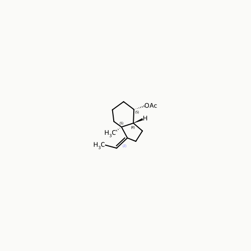 C/C=C1/CC[C@H]2[C@@H](OC(C)=O)CCC[C@]12C